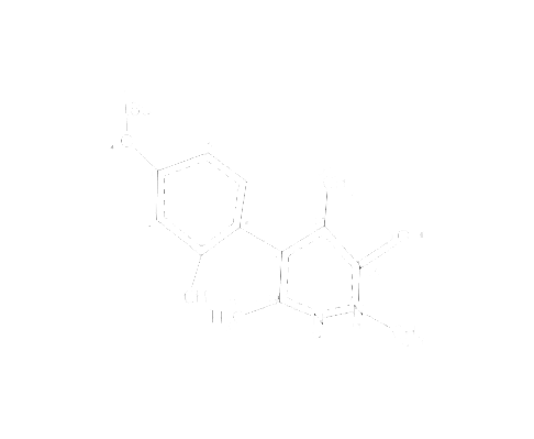 Cc1cc(OC(C)(C)C)ccc1-c1c(C)nn(C)c(=O)c1C